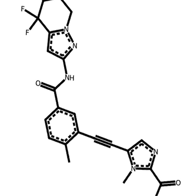 CNC(=O)c1ncc(C#Cc2cc(C(=O)Nc3cc4n(n3)CCCC4(F)F)ccc2C)n1C